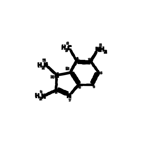 Cc1c(N)ccc2nc(N)n(N)c12